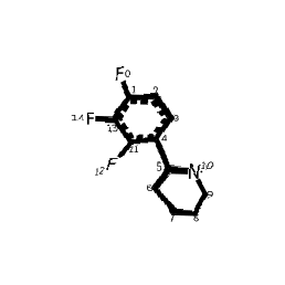 Fc1ccc(C2CCCC[N]2)c(F)c1F